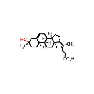 C[C@H](CCC(=O)O)[C@H]1CC[C@H]2[C@@H]3CC=C4C[C@](O)(C(F)(F)F)CC[C@]4(C)[C@H]3CC[C@]12C